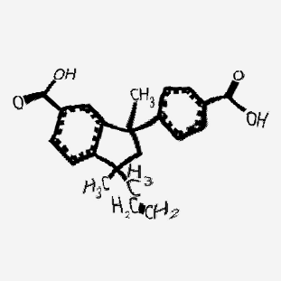 C=C.CC1(C)CC(C)(c2ccc(C(=O)O)cc2)c2cc(C(=O)O)ccc21